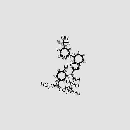 CC(C)(C)NS(=O)(=O)NC(c1cc2cccc(-c3cc(C(C)(C)O)ccn3)c2s1)c1cc(N(C(=O)O)C(=O)O)ccc1Cl